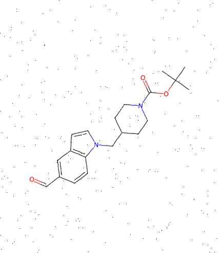 CC(C)(C)OC(=O)N1CCC(Cn2ccc3cc(C=O)ccc32)CC1